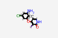 CCc1c[nH]c(=O)c(I)c1Oc1cc(N)cc(Cl)c1